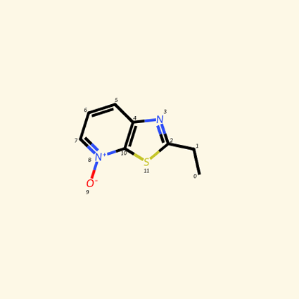 CCc1nc2ccc[n+]([O-])c2s1